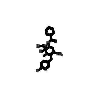 CCNC1(CC)N(OC(=O)c2ccccc2)CC([N+](=O)[O-])=C(Cc2ccc(Cl)nc2)N1C